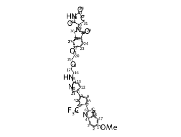 COc1ccc2nc(-c3ccc(-c4ccc(NCCOCCOc5ccc6c(c5)CN(C5CCC(=O)NC5=O)C6=O)nc4)cc3C(F)(F)F)sc2c1